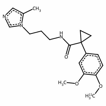 COc1cc(C2(C(=O)NCCCn3cncc3C)CC2)ccc1O[11CH3]